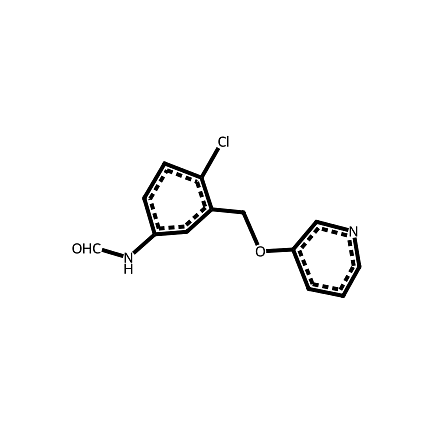 O=CNc1ccc(Cl)c(COc2cccnc2)c1